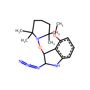 COc1cccc2c1C(ON1C(C)(C)CCCC1(C)C)C(N=[N+]=[N-])N2